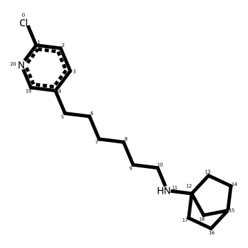 Clc1ccc(CCCCCCNC23CCC(CC2)C3)cn1